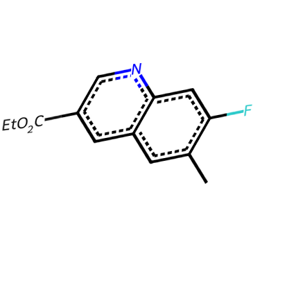 CCOC(=O)c1cnc2cc(F)c(C)cc2c1